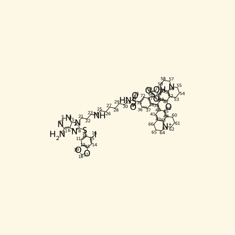 Nc1ncnc2c1nc(Sc1cc3c(cc1I)OCO3)n2CCCNCCCCCCNS(=O)(=O)c1ccc(C2=c3cc4c5c(c3Oc3c2cc2c6c3CCCN6CCC2)CCC[N+]=5CCC4)c(S(=O)(=O)O)c1